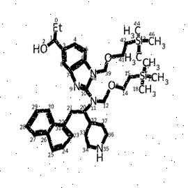 CCC(O)c1ccc2c(c1)nc(N(COCC[Si](C)(C)C)C(Cc1cccc3ccccc13)C1CCNCC1)n2COCC[Si](C)(C)C